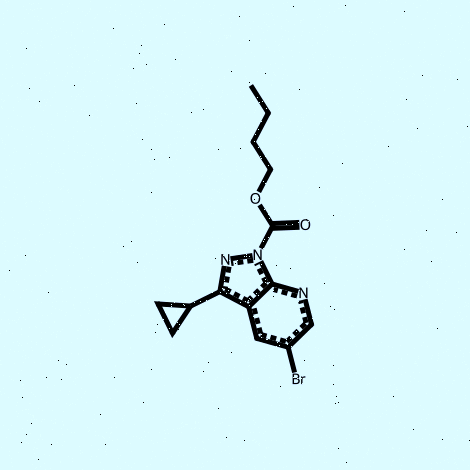 CCCCOC(=O)n1nc(C2CC2)c2cc(Br)cnc21